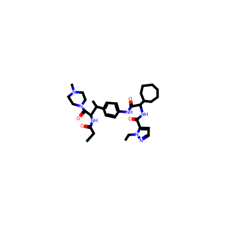 CCC(=O)NC(C(=O)N1CCN(C)CC1)C(C)c1ccc(NC(=O)C(NC(=O)c2ccnn2CC)C2CCCCCC2)cc1